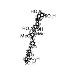 COc1cc(N=Nc2c(S(=O)(=O)O)cc3cc(-n4nc5ccc6c(S(=O)(=O)O)cc(S(=O)(=O)O)cc6c5n4)ccc3c2O)c(OC)cc1N=Nc1ccc(N=Nc2ccc(N=Nc3ccc(S(=O)(=O)O)cc3S(=O)(=O)O)c(C)c2)c(C)c1